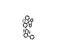 c1ccc(-c2cccc3nc(-c4ccc5c(c4)C4(c6ccccc6O5)c5ccccc5-c5ccccc54)cnc23)cc1